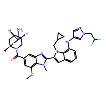 COc1cc(C(=O)N2C[C@H]3CC[C@@H]2C[C@@H]3N)cc2nc(-c3cc4cccc(Nc5cnn(CC(F)F)c5)c4n3CC3CC3)n(C)c12